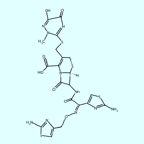 Cn1nc(O)c(=O)nc1SCC1=C(C(=O)O)N2C(=O)C(NC(=O)/C(=N\OCc3csc(N)n3)c3csc(N)n3)[C@@H]2SC1